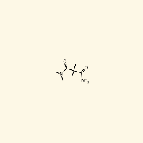 CN(C)C(=O)C(C)(C)C(N)=O